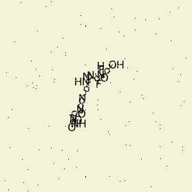 Cc1ccc(C(=O)N2CCC3(CCN(CCc4ccc(-c5cc6c(-c7cc(F)cc(NC(=O)c8ccc(C(C)(C)O)cc8F)c7C)ncnc6[nH]5)cc4)CC3)CC2)cc1N1CCC(=O)NC1=O